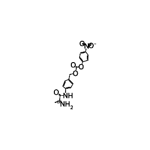 C[C@H](N)C(=O)Nc1ccc(COC(=O)Oc2ccc([N+](=O)[O-])cc2)cc1